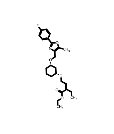 CCOC(=O)C(=CCO[C@@H]1CCC[C@H](OCc2nc(-c3ccc(F)cc3)oc2C)C1)CC